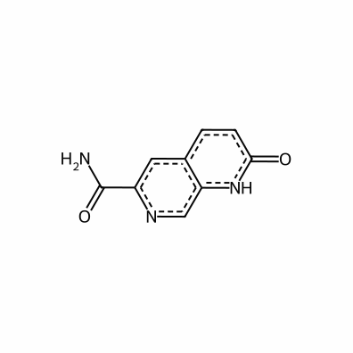 NC(=O)c1cc2ccc(=O)[nH]c2cn1